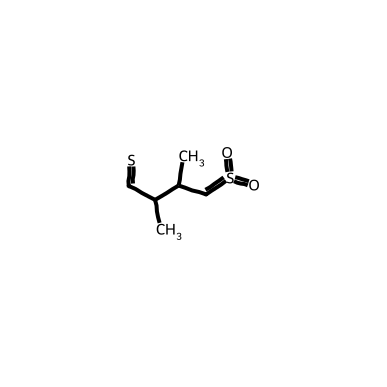 CC(C=S)C(C)C=S(=O)=O